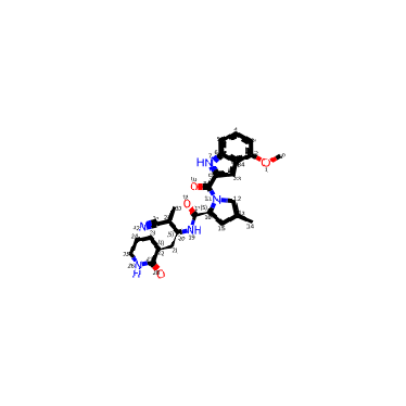 COc1cccc2[nH]c(C(=O)N3CC(C)C[C@H]3C(=O)N[C@@H](C[C@@H]3CCCNC3=O)C(C)C#N)cc12